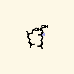 CC(C)=CCC/C(C)=C/CO.CC(C)=CCC[C@@H](C)CCO